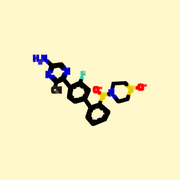 N#Cc1nc(N)cnc1-c1ccc(-c2ccccc2[S+]([O-])N2CC[S+]([O-])CC2)cc1F